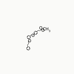 COC(=O)CCc1ccc(OCc2cccc(OCCCc3ccccc3)c2)cc1